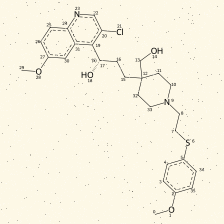 COc1ccc(SCCN2CCC(CO)(CC[C@H](O)c3c(Cl)cnc4ccc(OC)cc34)CC2)cc1